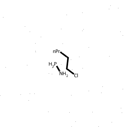 CCCCCCl.NP